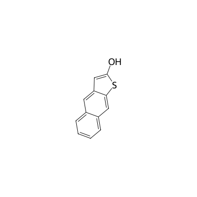 Oc1cc2cc3ccccc3cc2s1